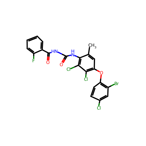 Cc1cc(Oc2ccc(Cl)cc2Br)c(Cl)c(Cl)c1NC(=O)NC(=O)c1ccccc1F